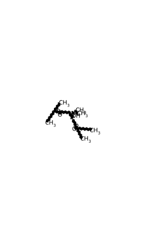 CCCCCCCCC(CCCCCC)COC(=O)CCCCCN(CCN(CC)CC)CC(O)CSCCCOC(=O)C(CCCCCC)CCCCCCCC